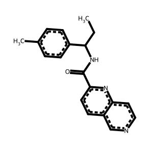 CCC(NC(=O)c1ccc2cnccc2n1)c1ccc(C)cc1